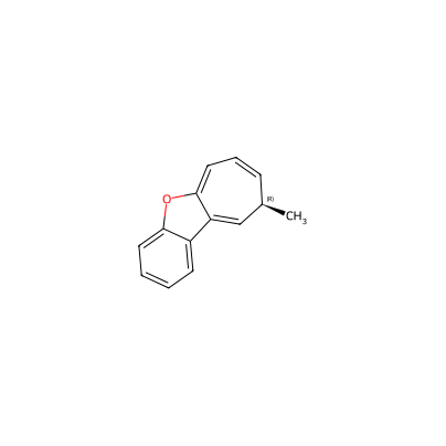 C[C@@H]1C=CC=c2oc3ccccc3c2=C1